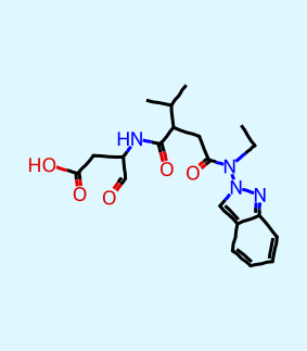 CCN(C(=O)CC(C(=O)NC(C=O)CC(=O)O)C(C)C)n1cc2ccccc2n1